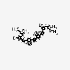 CCCCC(CC)CC1=C(Br)SC(c2ccc(-c3ccc(-c4ccc(-c5ccc(-c6ccc(-c7sc(Br)cc7CC(CC)CCCC)s6)c6nsnc56)s4)c4nsnc34)s2)C1